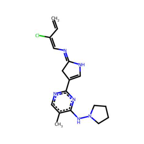 C=C/C(Cl)=C\N=C1/CC(c2ncc(C)c(NN3CCCC3)n2)=CN1